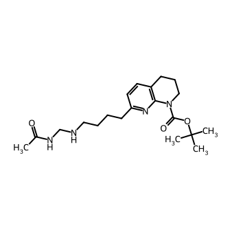 CC(=O)NCNCCCCc1ccc2c(n1)N(C(=O)OC(C)(C)C)CCC2